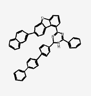 c1ccc(C2=NC(c3cccc4oc5cc(-c6ccc7ccccc7c6)ccc5c34)=NC(c3ccc(-c4ccc(-c5ccccc5)cc4)cc3)N2)cc1